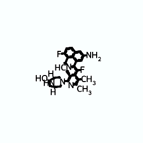 C#Cc1c(F)ccc2cc(N)cc(-c3ncc4c(N5C[C@H]6C[C@@H](O)[C@@H](C5)N6)nc(C)c(C)c4c3F)c12